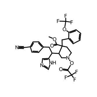 COC(=O)C1(Cc2ccccc2OC(F)(F)F)CCN(OC(=O)C(F)(F)F)CC1C(Cc1ccc(C#N)cc1)c1cnc[nH]1